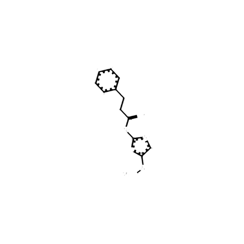 CONc1cnc(NC(=O)CCc2ccccc2)s1